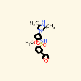 COc1ccc(N2C[C@@H](C)N[C@@H](C)C2)cc1NS(=O)(=O)c1cccc(-c2ccoc2)c1